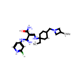 COC1CN(CC2CCC(CC#N)(N/C=C(\C(=N)Nc3ccnc(F)c3)C(N)=O)CC2)C1